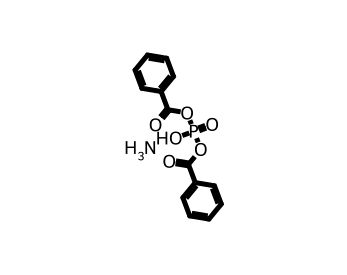 N.O=C(OP(=O)(O)OC(=O)c1ccccc1)c1ccccc1